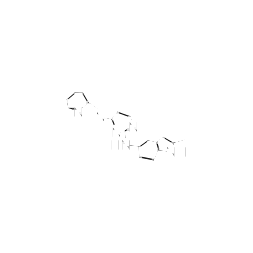 Cc1cc2cc(Nc3nccc(NCc4ccccn4)n3)ccc2[nH]1